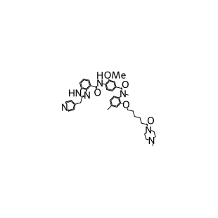 COc1cc(C(=O)N(C)c2ccc(C)cc2OCCCCCC(=O)N2CCN(C)CC2)ccc1NC(=O)c1cccc2[nH]c(Cc3ccncc3)nc12